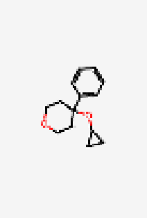 [CH]1COCCC1(OC1CC1)c1ccccc1